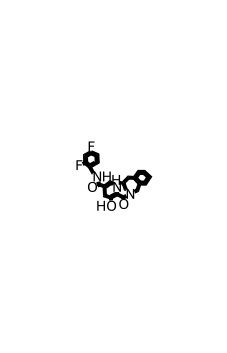 O=C(NCc1ccc(F)cc1F)C1=CN2C(=C(O)C1)C(=O)N1Cc3ccccc3C[C@H]2C1